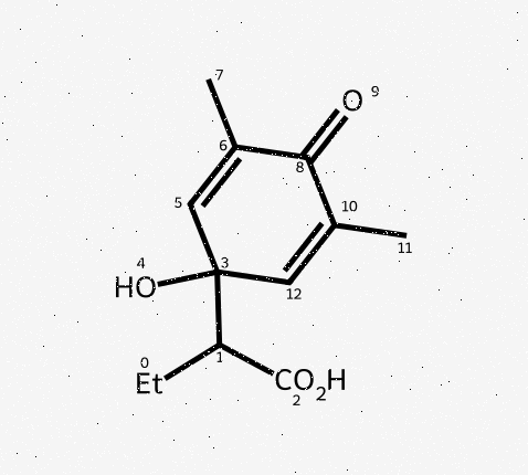 CCC(C(=O)O)C1(O)C=C(C)C(=O)C(C)=C1